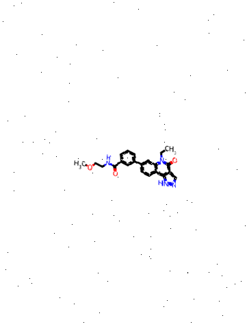 CCn1c(=O)c2cn[nH]c2c2ccc(-c3cccc(C(=O)NCCOC)c3)cc21